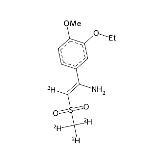 [2H]C(=C(N)c1ccc(OC)c(OCC)c1)S(=O)(=O)C([2H])([2H])[2H]